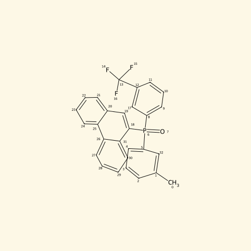 Cc1cccc(P(=O)(c2cccc(C(F)(F)F)c2)c2cc3ccccc3c3ccccc23)c1